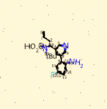 C=CC[C@@H](c1cncc(-c2cc(F)ccc2N)c1)N(C(=O)O)C(C)(C)C